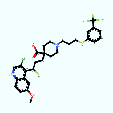 COc1ccc2ncc(Cl)c(C(F)CCC3(C(=O)O)CCN(CCCSc4cccc(C(F)(F)F)c4)CC3)c2c1